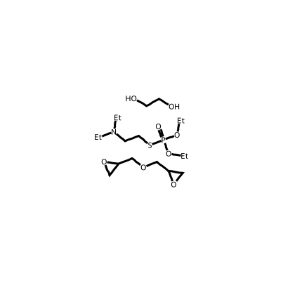 C(OCC1CO1)C1CO1.CCOP(=O)(OCC)SCCN(CC)CC.OCCO